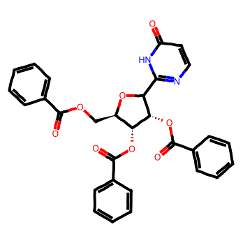 O=C(OC[C@H]1OC(c2nccc(=O)[nH]2)[C@H](OC(=O)c2ccccc2)[C@@H]1OC(=O)c1ccccc1)c1ccccc1